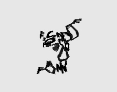 C[C@H]1[C@H](Oc2ccc3c(cnn3-c3ccc(F)cc3)c2)c2ccc(F)cc2CN1C(=O)C(F)(F)F